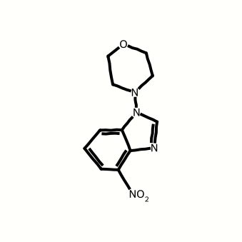 O=[N+]([O-])c1cccc2c1ncn2N1CCOCC1